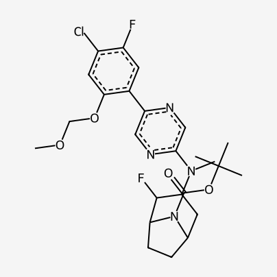 COCOc1cc(Cl)c(F)cc1-c1cnc(N(C)C2CC3CCC(C2F)N3C(=O)OC(C)(C)C)cn1